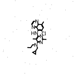 CCCN(CC1CC1)c1nc(C)nc(Nc2c(Cl)cc(C)c3nccnc23)c1C